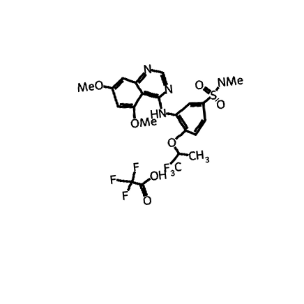 CNS(=O)(=O)c1ccc(OC(C)C(F)(F)F)c(Nc2ncnc3cc(OC)cc(OC)c23)c1.O=C(O)C(F)(F)F